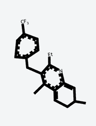 CCc1nc2c(c(C)c1Cc1ccc(C(F)(F)F)cc1)=CCC(C)C=2